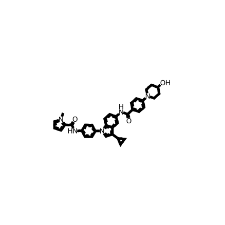 Cn1cccc1C(=O)Nc1ccc(-n2cc(C3CC3)c3cc(NC(=O)c4ccc(N5CCC(O)CC5)cc4)ccc32)cc1